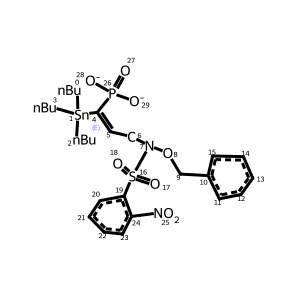 CCC[CH2][Sn]([CH2]CCC)([CH2]CCC)/[C](=C/CN(OCc1ccccc1)S(=O)(=O)c1ccccc1[N+](=O)[O-])P(=O)([O-])[O-]